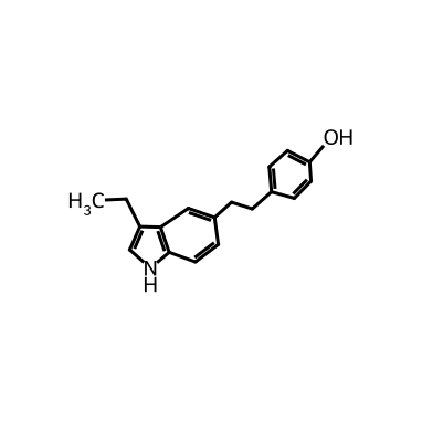 CCc1c[nH]c2ccc(CCc3ccc(O)cc3)cc12